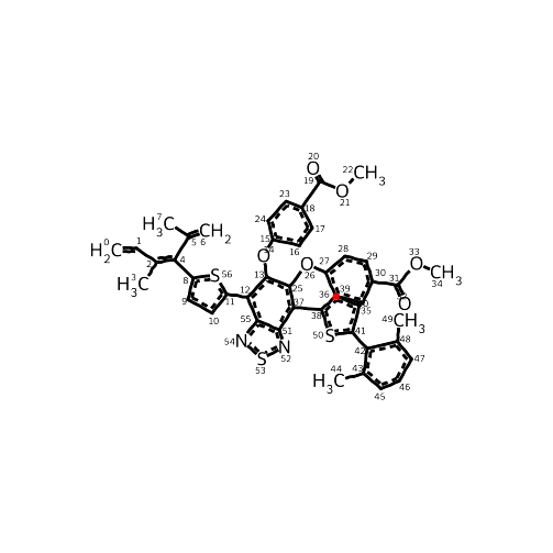 C=C/C(C)=C(\C(=C)C)c1ccc(-c2c(Oc3ccc(C(=O)OC)cc3)c(Oc3ccc(C(=O)OC)cc3)c(-c3ccc(-c4c(C)cccc4C)s3)c3nsnc23)s1